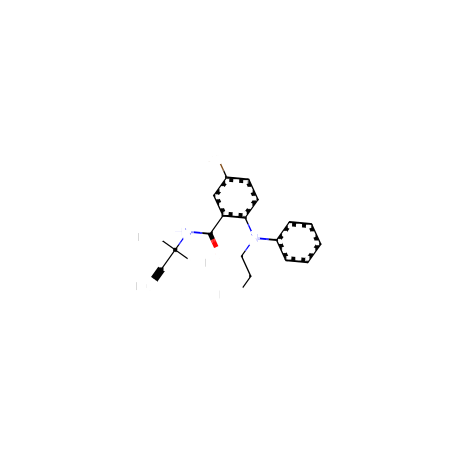 C#CC(C)(C)NC(=O)c1cc(Br)ccc1N(CCC)c1ccccc1